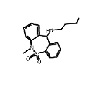 CCCCNC1c2ccccc2N(C)S(=O)(=O)c2ccccc21